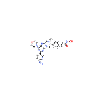 CCn1c(CN(C)Cc2ccc(/C=C/C(=O)NO)cc2)nc2c(N3CCOCC3)nc(-c3ccc(N)nc3)nc21